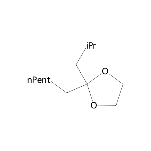 CCCCCCC1(CC(C)C)OCCO1